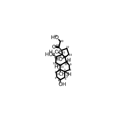 C[C@]12CC[C@H](O)C[C@H]1CC[C@@H]1[C@@H]2C[C@@H](O)[C@]2(C)[C@@H](C(=O)CO)CC[C@]12O